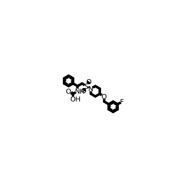 O=C(O)NC(CS(=O)(=O)N1CCC(OCc2cccc(F)c2)CC1)c1ccccc1